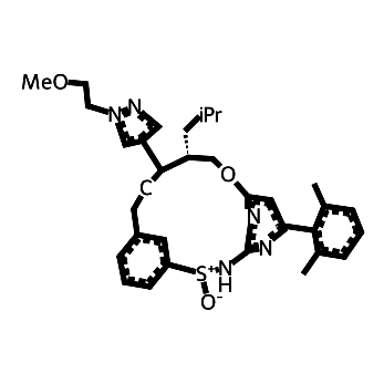 COCCn1cc(C2CCc3cccc(c3)[S+]([O-])Nc3nc(cc(-c4c(C)cccc4C)n3)OC[C@H]2CC(C)C)cn1